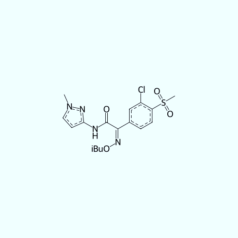 CC(C)CON=C(C(=O)Nc1ccn(C)n1)c1ccc(S(C)(=O)=O)c(Cl)c1